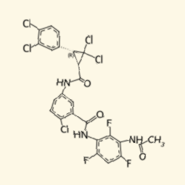 CC(=O)Nc1c(F)cc(F)c(NC(=O)c2cc(NC(=O)C3[C@H](c4ccc(Cl)c(Cl)c4)C3(Cl)Cl)ccc2Cl)c1F